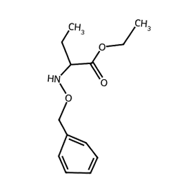 CCOC(=O)C(CC)NOCc1ccccc1